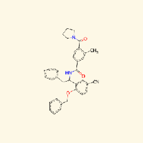 Cc1cc(C(=O)NC(Cc2ccccc2)c2cc(C#N)ccc2OCc2ccccc2)ccc1C(=O)N1CCCC1